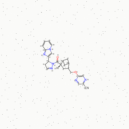 N#Cc1cnc(OCC2C[C@H](C(=O)N3N=CCC3c3cn4ccccc4n3)C3CC2C3)cn1